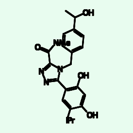 CNC(=O)c1nnc(-c2cc(C(C)C)c(O)cc2O)n1Cc1ccc(C(C)O)cc1